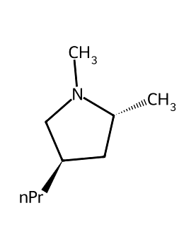 CCC[C@@H]1C[C@@H](C)N(C)C1